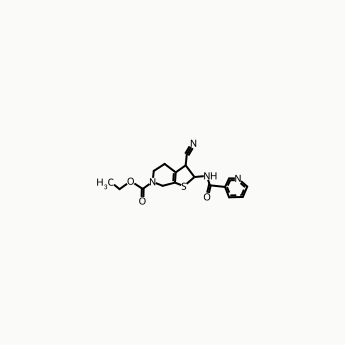 CCOC(=O)N1CCC2=C(C1)SC(NC(=O)c1cccnc1)C2C#N